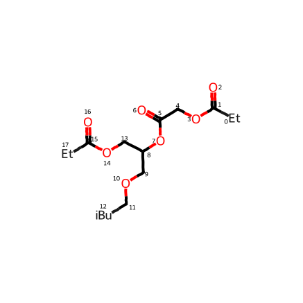 CCC(=O)OCC(=O)OC(COCC(C)CC)COC(=O)CC